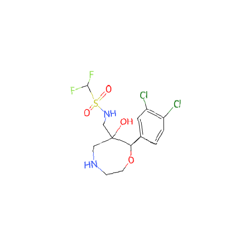 O=S(=O)(NCC1(O)CNCCOC1c1ccc(Cl)c(Cl)c1)C(F)F